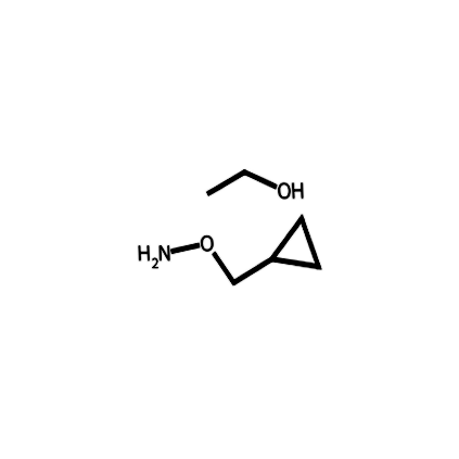 CCO.NOCC1CC1